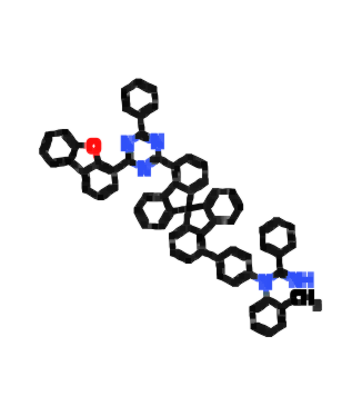 Cc1ccccc1N(C(=N)c1ccccc1)c1ccc(-c2cccc3c2-c2ccccc2C32c3ccccc3-c3c(-c4nc(-c5ccccc5)nc(-c5cccc6c5oc5ccccc56)n4)cccc32)cc1